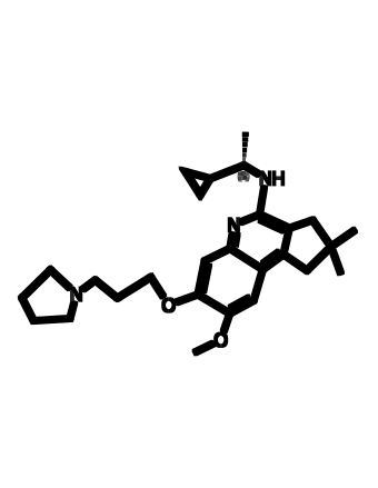 COc1cc2c3c(c(N[C@@H](C)C4CC4)nc2cc1OCCCN1CCCC1)CC(C)(C)C3